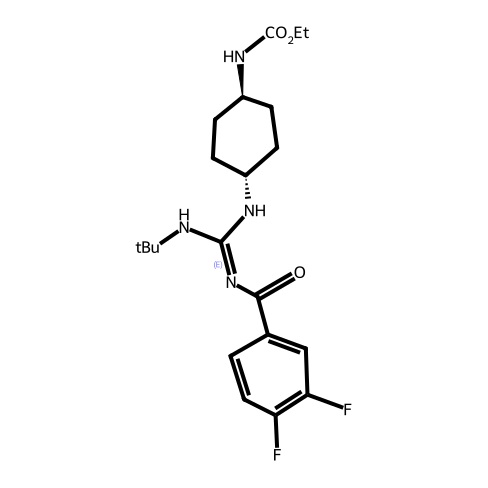 CCOC(=O)N[C@H]1CC[C@H](N/C(=N\C(=O)c2ccc(F)c(F)c2)NC(C)(C)C)CC1